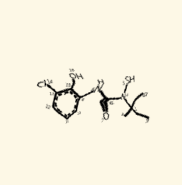 CC(C)(C)N(S)C(=O)Nc1cccc(Cl)c1O